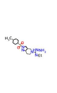 CCN=C(NN)N1CCc2nn(S(=O)(=O)c3ccc(C)cc3)cc2C1